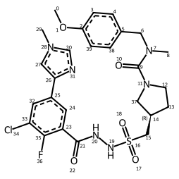 COc1ccc(CN(C)C(=O)N2CC[C@@H](CS(=O)(=O)NNC(=O)c3cc(-c4cn(C)cn4)cc(Cl)c3F)C2)cc1